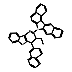 CCC1C(n2c3cc4ccccc4cc3c3c4ccccc4ccc32)=Nc2c(sc3ccccc23)C1c1ccc2ccccc2c1